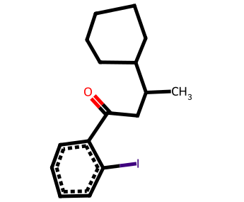 CC(CC(=O)c1ccccc1I)C1CCCCC1